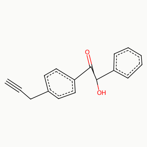 C#CCc1ccc(C(=O)C(O)c2ccccc2)cc1